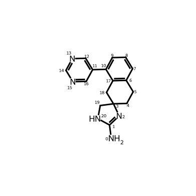 NC1=NC2(CCc3cccc(-c4cncnc4)c3C2)CN1